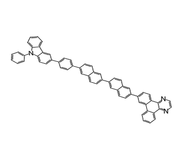 c1ccc(-n2c3ccccc3c3cc(-c4ccc(-c5ccc6cc(-c7ccc8cc(-c9ccc%10c(c9)c9ccccc9c9nccnc%109)ccc8c7)ccc6c5)cc4)ccc32)cc1